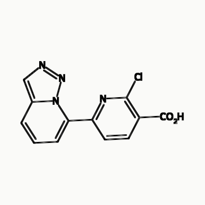 O=C(O)c1ccc(-c2cccc3cnnn23)nc1Cl